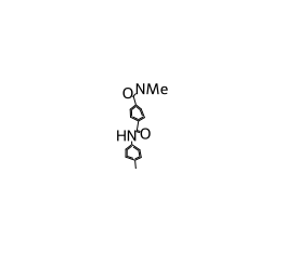 CNC(=O)c1ccc(C(=O)Nc2ccc(C)cc2)cc1